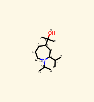 CC(C)C1CC(C(C)(C)O)CCCN1C(C)C